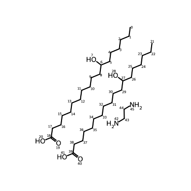 CCCCCCC(O)CCCCCCCCCCC(=O)O.CCCCCCC(O)CCCCCCCCCCC(=O)O.NCCN